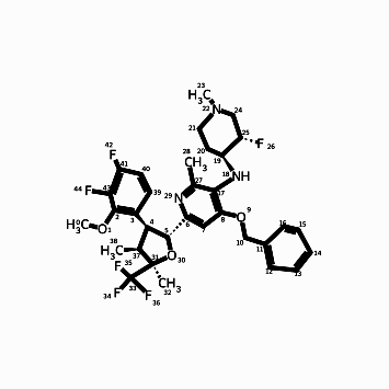 COc1c([C@H]2[C@H](c3cc(OCc4ccccc4)c(N[C@H]4CCN(C)C[C@@H]4F)c(C)n3)O[C@@](C)(C(F)(F)F)[C@H]2C)ccc(F)c1F